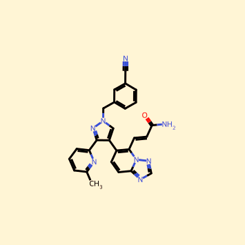 Cc1cccc(-c2nn(Cc3cccc(C#N)c3)cc2-c2ccc3ncnn3c2/C=C/C(N)=O)n1